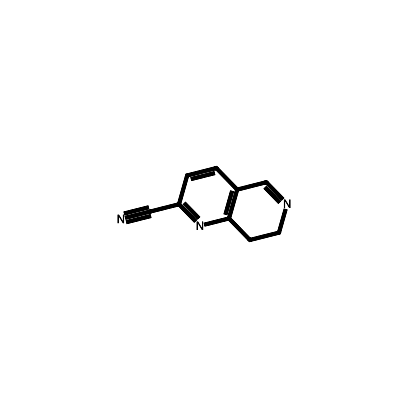 N#Cc1ccc2c(n1)CCN=C2